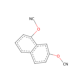 N#COc1ccc2cccc(OC#N)c2c1